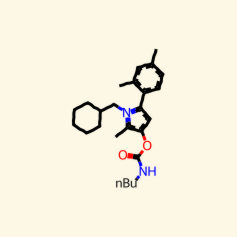 CCCCNC(=O)Oc1cc(-c2ccc(C)cc2C)n(CC2CCCCC2)c1C